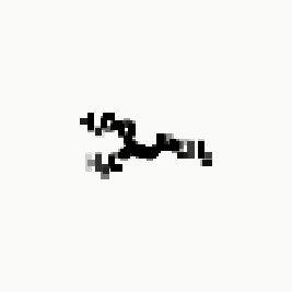 C=N/C=C(/C)OC